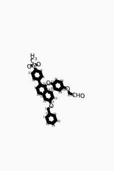 CS(=O)(=O)c1ccc(-c2ccc3cc(OCc4ccccc4)ccc3c2Oc2ccc(OCC=O)cc2)cc1